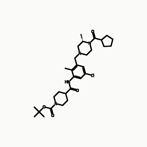 Cc1c(CN2CCN(C(=O)C3CCCC3)[C@@H](C)C2)cc(Cl)cc1NC(=O)C1CCN(C(=O)OC(C)(C)C)CC1